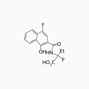 CCC(F)(NC(=O)c1cc(F)c2ccccc2c1O)C(=O)O